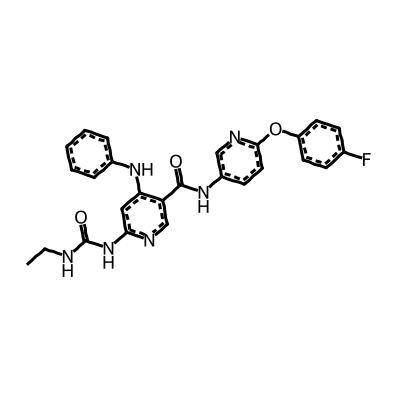 CCNC(=O)Nc1cc(Nc2ccccc2)c(C(=O)Nc2ccc(Oc3ccc(F)cc3)nc2)cn1